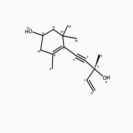 C=C[C@@](C)(O)C#CC1=C(C)CC(O)CC1(C)C